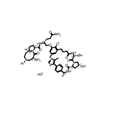 CC(=O)N1CC[C@H]2CC[C@@H](C(=O)N[C@@H](CCC(N)=O)COc3cc(C)cc(CCCC(=O)N[C@H](C(=O)N4C[C@H](O)C[C@H]4C(=O)N[C@@H](C)c4ccc(-c5scnc5C)cc4)C(C)(C)C)c3Cl)N2C(=O)[C@@H](N)C1.Cl